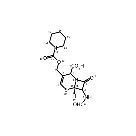 O=CNC1C(=O)N2C(C(=O)O)C(COC(=O)N3CCCCC3)=CS[C@@H]12